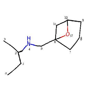 CCC(C)NCC12CCCC(C1)O2